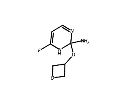 NC1(OC2COC2)N=CC=C(F)N1